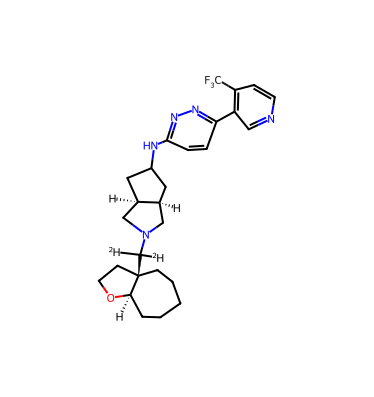 [2H]C([2H])(N1C[C@H]2CC(Nc3ccc(-c4cnccc4C(F)(F)F)nn3)C[C@H]2C1)[C@@]12CCCCC[C@H]1OCC2